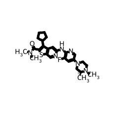 C[C@H]1CN(c2cnc(Nc3cc4c(C5CCCC5)c(C(=O)N(C)C)sc4cn3)c(F)c2)CCN1C